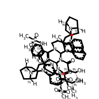 Cc1nc2ccccc2n1C1C[C@H]2CC[C@@H](C1)N2CCC1(c2ccccc2)CCN(C(=O)[C@@H](NS(C)(=O)=O)[C@@H](C)O)C(N(C(=O)[C@@H](NS(C)(=O)=O)[C@@H](C)O)C2CC(CCN3[C@@H]4CC[C@H]3CC(n3c(C)nc5ccccc53)C4)(c3ccccc3)CCN2C(=O)[C@@H](NS(C)(=O)=O)[C@@H](C)O)C1